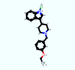 FC(F)(F)COc1cccc(CN2CCC(c3cn(Cl)c4ccccc34)CC2)c1